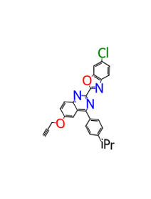 C#CCOc1ccc2nc(-c3nc4ccc(Cl)cc4o3)nc(-c3ccc(C(C)C)cc3)c2c1